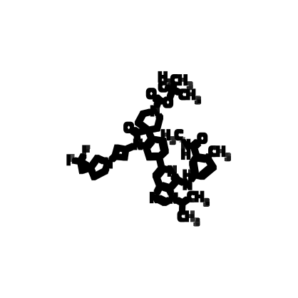 CNC(=O)c1cc(Nc2nc(-c3ccc4c(c3)N(C3CC(N5CCC6(C5)CC6(F)F)C3)C(=O)C43CCN(C(=O)OC(C)(C)C)CC3)cc3ncn(C(C)C)c23)ccc1C